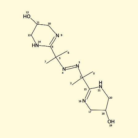 CC(C)(/N=N/C(C)(C)C1=NCC(O)CN1)C1=NCC(O)CN1